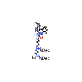 CCCCCCCCCCCN(CC)CCCN(CCCCCCCCCCC)CCCCCC(=O)Nc1nc2ccccc2c2c1ncn2CC(C)C